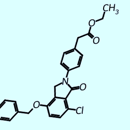 CCOC(=O)Cc1ccc(N2Cc3c(OCc4ccccc4)ccc(Cl)c3C2=O)cc1